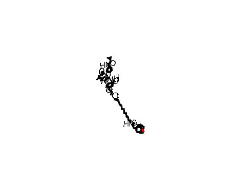 COc1cc(OCCOCCCCCCCCCCCCNC(=O)CC23CC4CC5CC(C2)C5(C4)C3)ccc1Nc1ncc2c(C)cc(=O)n(-c3cccc(NC(=O)C4CC4)c3)c2n1